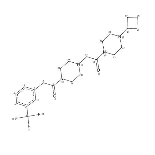 O=C(Cc1cccc(C(F)(F)F)c1)N1CCN(CC(=O)N2CCN(C3CCC3)CC2)CC1